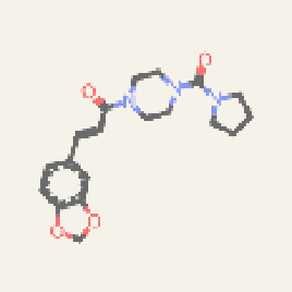 O=C(C=Cc1ccc2c(c1)OCO2)N1CCN(C(=O)N2CCCC2)CC1